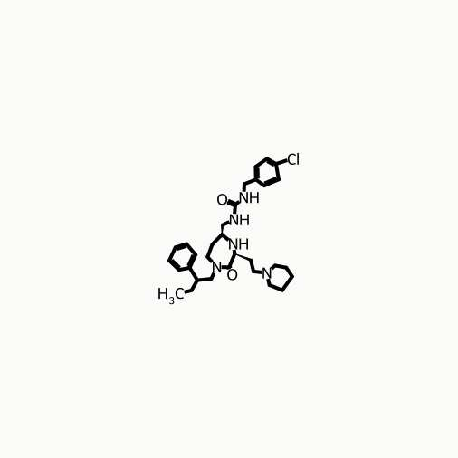 CCC(CN1CC[C@@H](CNC(=O)NCc2ccc(Cl)cc2)N[C@@H](CCN2CCCCC2)C1=O)c1ccccc1